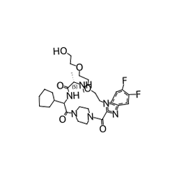 CN[C@@H](C)C(=O)NC(C(=O)N1CCN(C(=O)c2nc3cc(F)c(F)cc3n2CCOCCOCCO)CC1)C1CCCCC1